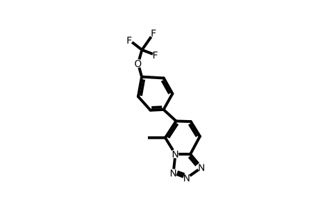 Cc1c(-c2ccc(OC(F)(F)F)cc2)ccc2nnnn12